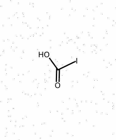 O=C(O)I